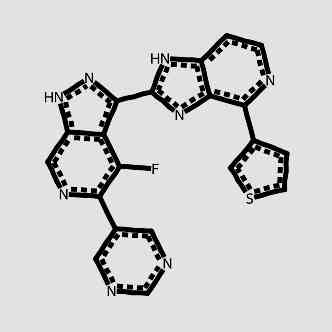 Fc1c(-c2cncnc2)ncc2[nH]nc(-c3nc4c(-c5ccsc5)nccc4[nH]3)c12